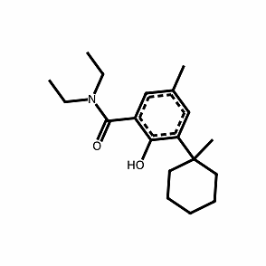 CCN(CC)C(=O)c1cc(C)cc(C2(C)CCCCC2)c1O